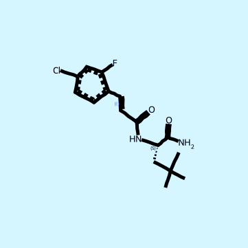 CC(C)(C)C[C@H](NC(=O)/C=C/c1ccc(Cl)cc1F)C(N)=O